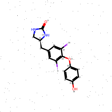 O=C1NC[C@H](Cc2cc(I)c(Oc3ccc(O)cc3)c(I)c2)N1